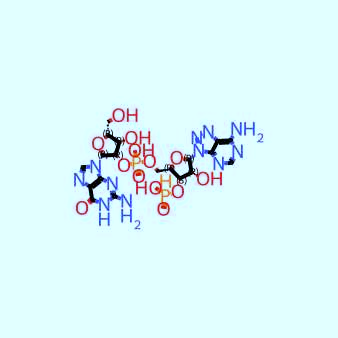 Nc1nc2c(ncn2[C@@H]2O[C@H](CO)[C@@H](O)[C@H]2OP(=O)(O)OC[C@H]2O[C@@H](n3nnc4c(N)ncnc43)[C@H](O)[C@@H]2O[PH](=O)O)c(=O)[nH]1